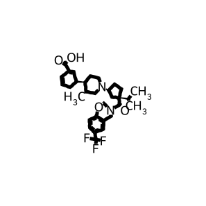 CC(C)[C@]1(C(=O)N2COc3ccc(C(F)(F)F)cc3C2)CC[C@@H](N2CC[C@H](C3C=C(C(=O)O)C=CC3)[C@@H](C)C2)C1